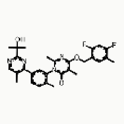 Cc1cc(COc2nc(C)n(-c3cc(-c4nc(C(C)(C)O)ncc4C)ccc3C)c(=O)c2C)c(F)cc1F